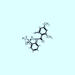 Cc1cc(C)c(C(=O)Nc2ccccc2S(C)(=O)=O)c(I)c1